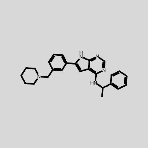 CC(Nc1ncnc2[nH]c(-c3cccc(CN4CCCCC4)c3)cc12)c1ccccc1